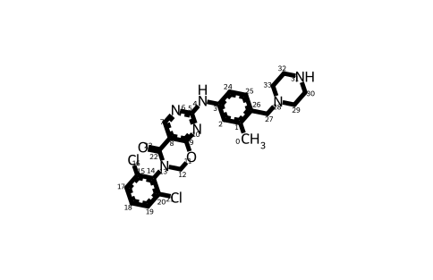 Cc1cc(Nc2ncc3c(n2)OCN(c2c(Cl)cccc2Cl)C3=O)ccc1CN1CCNCC1